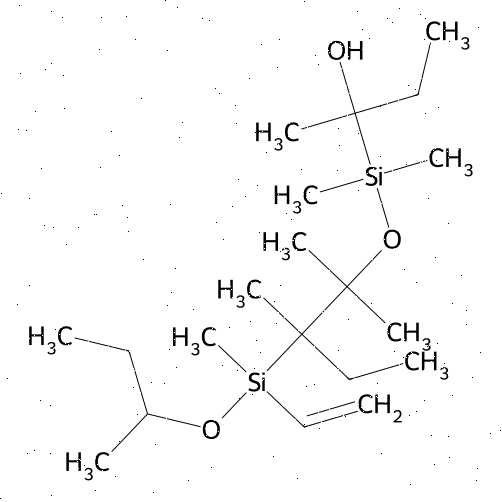 C=C[Si](C)(OC(C)CC)C(C)(CC)C(C)(C)O[Si](C)(C)C(C)(O)CC